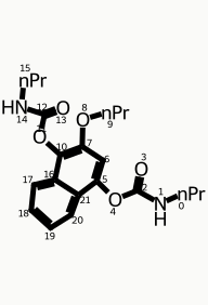 CCCNC(=O)Oc1cc(OCCC)c(OC(=O)NCCC)c2ccccc12